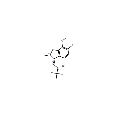 COc1c(F)ccc2c1C[C@H](F)/C2=N/[S@+]([O-])C(C)(C)C